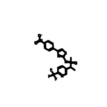 CC(c1ccc(C(F)(F)F)nc1)S(C)(=O)=Nc1nc(-c2ccc([N+](=O)[O-])cc2)cs1